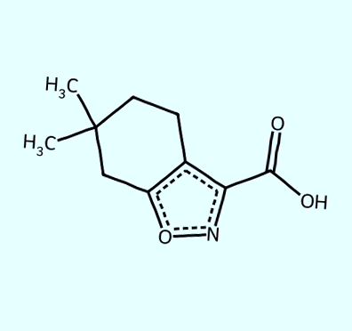 CC1(C)CCc2c(C(=O)O)noc2C1